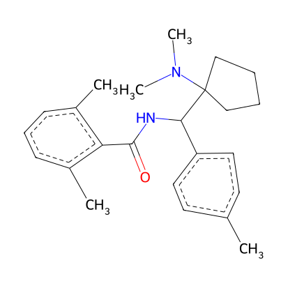 Cc1ccc(C(NC(=O)c2c(C)cccc2C)C2(N(C)C)CCCC2)cc1